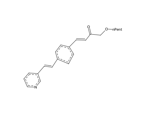 CCCCCOCC(=O)C=Cc1ccc(C=Cc2cccnc2)cc1